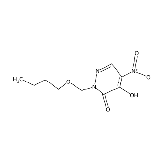 CCCCOCn1ncc([N+](=O)[O-])c(O)c1=O